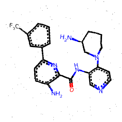 Nc1ccc(-c2cccc(C(F)(F)F)c2)nc1C(=O)Nc1cnccc1N1CCC[C@H](N)C1